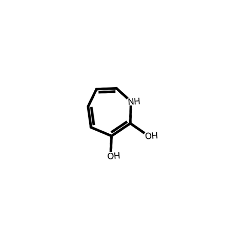 OC1=C(O)NC=CC=C1